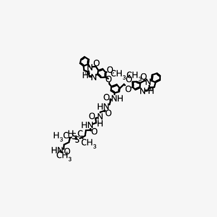 CNC(=O)CCC(C)SSC(C)(C)CCC(=O)NCC(=O)NCC(=O)NCC(=O)Nc1cc(COc2cc3c(cc2OC)C(=O)N2c4ccccc4C[C@H]2C=N3)cc(COc2cc3c(cc2OC)C(=O)N2c4ccccc4C[C@H]2C=N3)c1